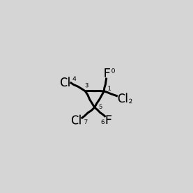 FC1(Cl)C(Cl)C1(F)Cl